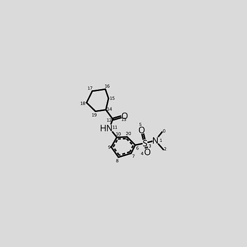 CN(C)S(=O)(=O)c1cccc(NC(=O)C2CCCCC2)c1